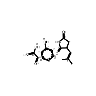 CC(C)=CC1CC(=O)NC1=O.O=CC(=O)O.Oc1ccccc1